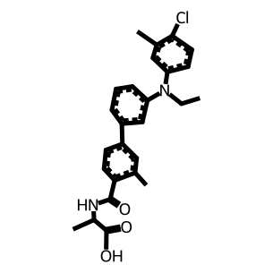 CCN(c1cccc(-c2ccc(C(=O)NC(C)C(=O)O)c(C)c2)c1)c1ccc(Cl)c(C)c1